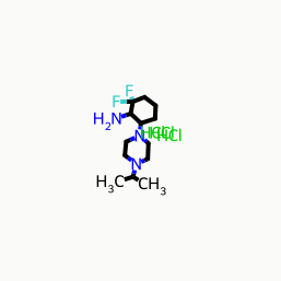 CC(C)N1CCN(C2CCCC(F)(F)C2N)CC1.Cl.Cl.Cl